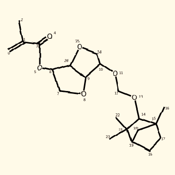 C=C(C)C(=O)OC1COC2C(OCOC3C4(C)CCC(C4)C3(C)C)COC12